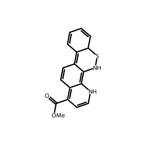 COC(=O)C1=c2ccc3c(c2NC=C1)NSC1C=CC=CC=31